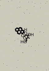 CC1C(CO)OC(Oc2ccc3ccc4cccc5ccc2c3c45)C(O)C1O